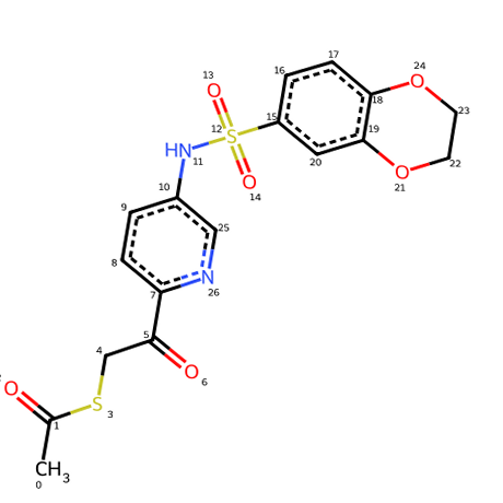 CC(=O)SCC(=O)c1ccc(NS(=O)(=O)c2ccc3c(c2)OCCO3)cn1